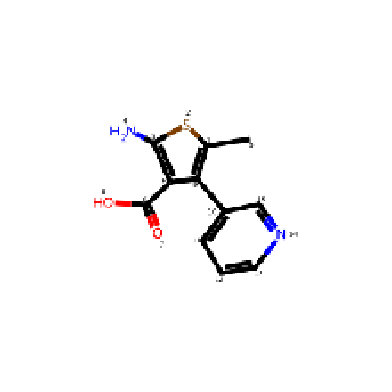 Cc1sc(N)c(C(=O)O)c1-c1cccnc1